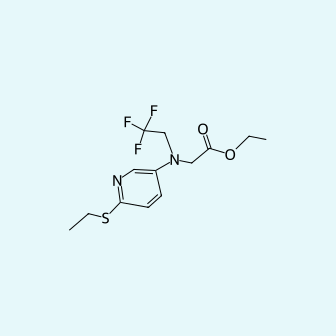 CCOC(=O)CN(CC(F)(F)F)c1ccc(SCC)nc1